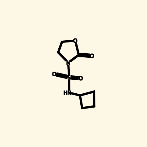 O=C1OCCN1S(=O)(=O)NC1CCC1